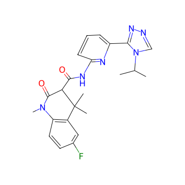 CC(C)n1cnnc1-c1cccc(NC(=O)C2C(=O)N(C)c3ccc(F)cc3C2(C)C)n1